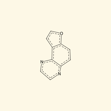 c1cnc2c(ccc3occc32)n1